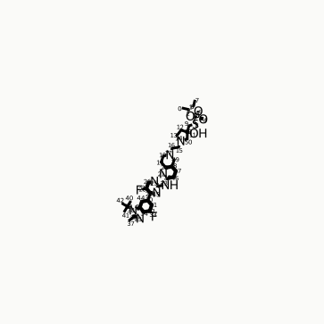 CCOP(=O)(OCC)SCC1(O)CCN(CCN2CCc3nc(Nc4ncc(F)c(-c5cc(F)c6nc(C)n(C(C)(C)C)c6c5)n4)ccc3C2)C1